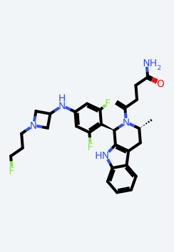 C=C(CCC(N)=O)N1[C@H](c2c(F)cc(NC3CN(CCCF)C3)cc2F)c2[nH]c3ccccc3c2C[C@H]1C